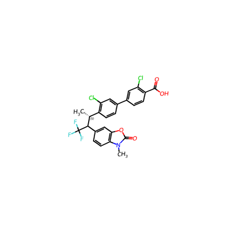 C[C@H](c1ccc(-c2ccc(C(=O)O)c(Cl)c2)cc1Cl)C(c1ccc2c(c1)oc(=O)n2C)C(F)(F)F